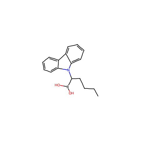 CCCCC(B(O)O)n1c2ccccc2c2ccccc21